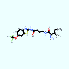 CCC(C)C(N)C(=O)NCCCC(=O)Nc1nc2ccc(OC(F)(F)F)cc2s1